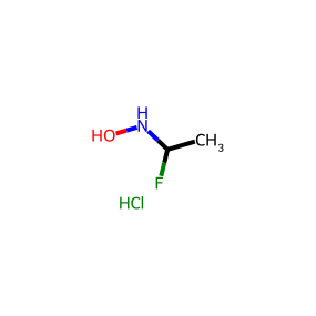 CC(F)NO.Cl